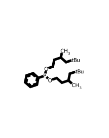 CC(CCOP(OCCC(C)CC(C)(C)C)c1ccccc1)CC(C)(C)C